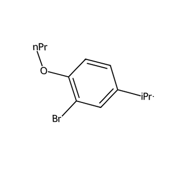 CCCOc1ccc([C](C)C)cc1Br